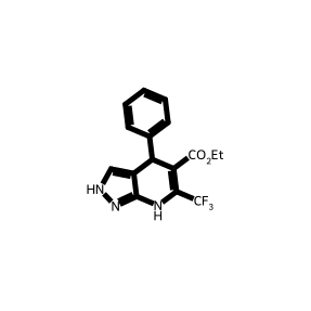 CCOC(=O)C1=C(C(F)(F)F)Nc2n[nH]cc2C1c1ccccc1